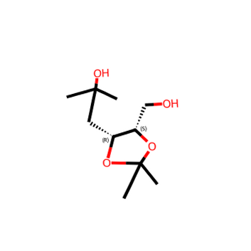 CC(C)(O)C[C@H]1OC(C)(C)O[C@H]1CO